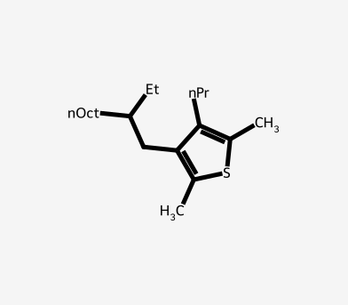 CCCCCCCCC(CC)Cc1c(C)sc(C)c1CCC